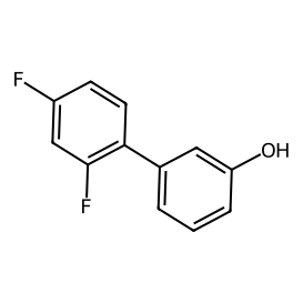 Oc1cccc(-c2ccc(F)cc2F)c1